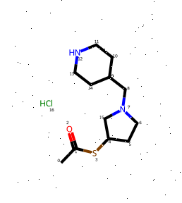 CC(=O)SC1CCN(CC2CCNCC2)C1.Cl